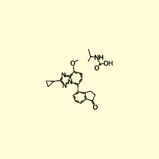 CC(C)NC(=O)O.COc1ccc(-c2cccc3c2CCC3=O)n2nc(C3CC3)nc12